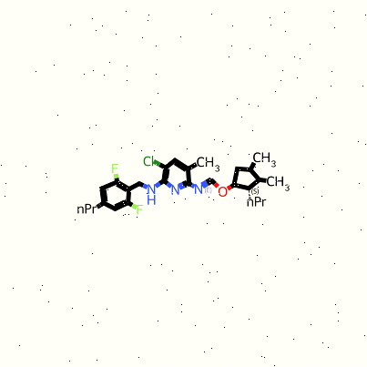 CCCc1cc(F)c(CNc2nc(/N=C/OC3CC(C)C(C)[C@@H]3CCC)c(C)cc2Cl)c(F)c1